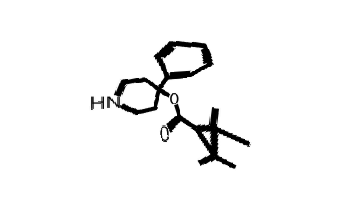 CC1(C)C(C(=O)OC2(c3ccccc3)CCNCC2)C1(C)C